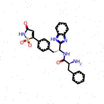 N[C@@H](Cc1ccccc1)C(=O)N[C@H](Cc1ccc(C2=CC(=O)NS2(=O)=O)cc1)c1nc2ccccc2[nH]1